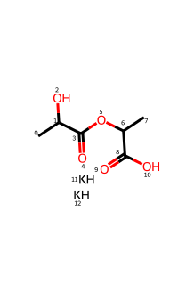 CC(O)C(=O)OC(C)C(=O)O.[KH].[KH]